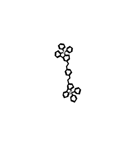 c1ccc([Si]2(c3ccccc3)c3ccccc3-c3cc(CCc4ccc(CCc5ccc6c(c5)-c5ccccc5[Si]6(c5ccccc5)c5ccccc5)cc4)ccc32)cc1